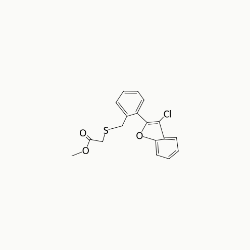 COC(=O)CSCc1ccccc1-c1oc2ccccc2c1Cl